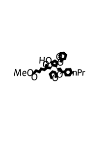 CCCC1CCC([C@@H](/C=C/[C@@H]2[C@@H](CC(=O)CCCCC(=O)OC)[C@@H](O)C[C@H]2OC2CCCCO2)OC2CCCCO2)CC1